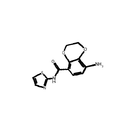 Nc1ccc(C(=O)Nc2nccs2)c2c1OCCO2